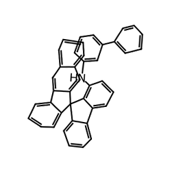 c1ccc(-c2cccc(Nc3cccc4c3C3(c5ccccc5-c5cc6ccccc6cc53)c3ccccc3-4)c2)cc1